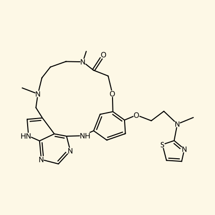 CN1CCCN(C)C(=O)COc2cc(ccc2OCCN(C)c2nccs2)Nc2ncnc3[nH]cc(c23)C1